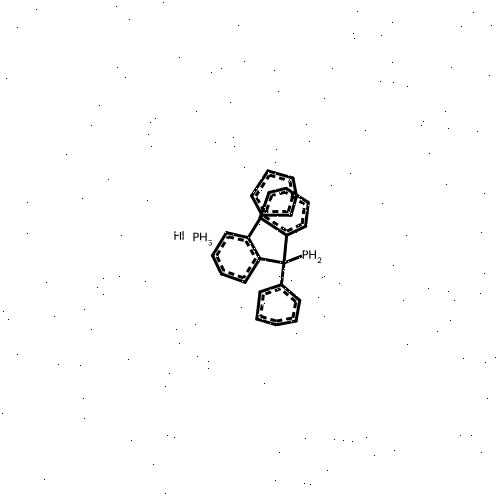 I.P.PC(c1ccccc1)(c1ccccc1)c1ccccc1-c1ccccc1